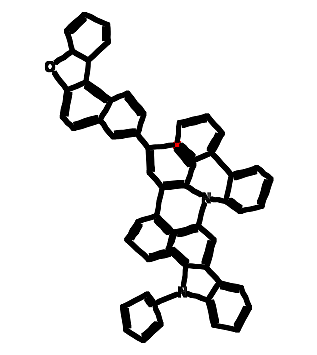 C1=CC2Oc3ccc4cc(-c5ccc(N(c6ccc7c(c6)c6ccccc6n7-c6ccccc6)c6ccccc6-c6ccccc6)c(-c6ccccc6)c5)ccc4c3C2C=C1